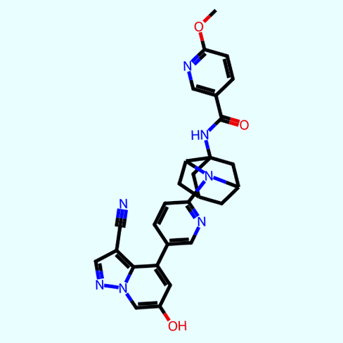 COc1ccc(C(=O)NC23CC4CC(C2)N(c2ccc(-c5cc(O)cn6ncc(C#N)c56)cn2)C3C4)cn1